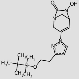 CC(C)(C)[Si](C)(C)OCCc1ccn(C2=CC3CN(C2)C(=O)N3O)n1